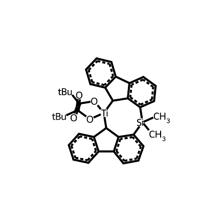 CC(C)(C)C(=O)[O][Ti]1([O]C(=O)C(C)(C)C)[CH]2c3ccccc3-c3cccc(c32)[Si](C)(C)c2cccc3c2[CH]1c1ccccc1-3